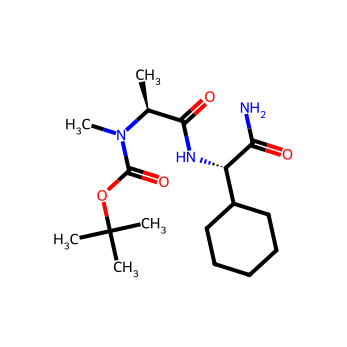 C[C@@H](C(=O)N[C@H](C(N)=O)C1CCCCC1)N(C)C(=O)OC(C)(C)C